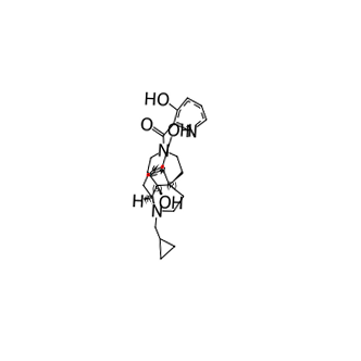 O=C(c1ncccc1O)N1CC[C@]23CCN(CC4CC4)[C@H](Cc4ccc(O)cc42)[C@]3(O)CC1